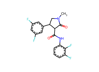 CN1CC(c2cc(F)cc(F)c2)C(C(=O)Nc2cccc(F)c2F)C1=O